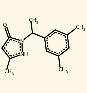 Cc1cc(C)cc(C(C)n2[nH]c(C)cc2=O)c1